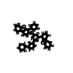 c1ccc(-c2cccc(-c3nc(-c4cccc5c4oc4ccccc45)cc(-n4c5ccccc5c5c6oc7ccccc7c6ccc54)n3)c2)cc1